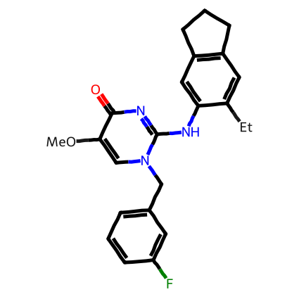 CCc1cc2c(cc1Nc1nc(=O)c(OC)cn1Cc1cccc(F)c1)CCC2